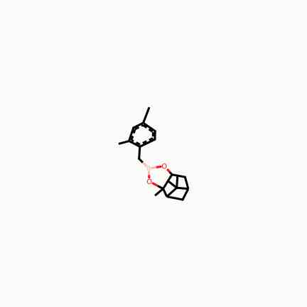 Cc1ccc(CB2OC3CC4CC(C4(C)C)C3(C)O2)c(C)c1